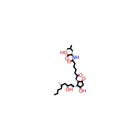 CCCC[C@H](C)C[C@@H](O)/C=C/[C@H]1[C@H](O)CC(=O)[C@@H]1CC(=O)CCCCC(=O)N[C@@H](CC(C)C)C(=O)O